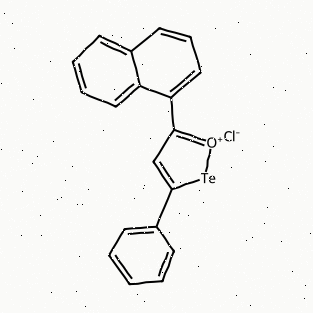 [Cl-].c1ccc(-c2cc(-c3cccc4ccccc34)[o+][te]2)cc1